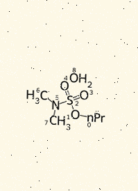 CCCOS(=O)(=O)N(C)C.O